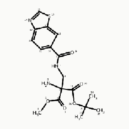 COC(=O)C(N)(CNC(=O)c1ccc2ncsc2c1)C(=O)OC(C)(C)C